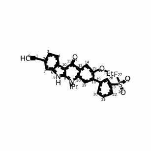 C#Cc1ccc2c(c1)[nH]c1c2c(=O)c2cc(OCC)c(-c3cccc(S(=O)(=O)F)c3)cc2n1C(C)C